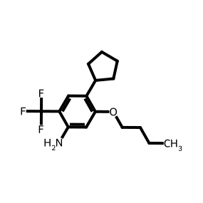 CCCCOc1cc(N)c(C(F)(F)F)cc1C1CCCC1